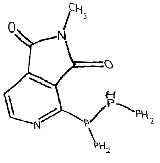 CN1C(=O)c2ccnc(P(P)PP)c2C1=O